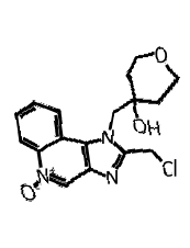 [O-][n+]1cc2nc(CCl)n(CC3(O)CCOCC3)c2c2ccccc21